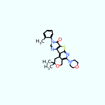 Cc1ccccc1-n1cnc2c(sc3nc(N4CCOCC4)c4c(c32)CC(C)(C)OC4)c1=O